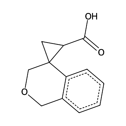 O=C(O)C1CC12COCc1ccccc12